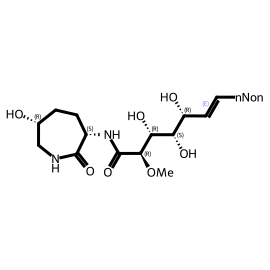 CCCCCCCCC/C=C/[C@@H](O)[C@H](O)[C@@H](O)[C@@H](OC)C(=O)N[C@H]1CC[C@@H](O)CNC1=O